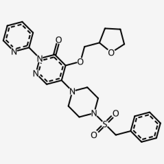 O=c1c(OCC2CCCO2)c(N2CCN(S(=O)(=O)Cc3ccccc3)CC2)cnn1-c1ccccn1